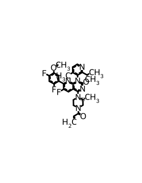 C=CC(=O)N1CCN(c2nc(=O)n(-c3c(C)ccnc3C(C)C)c3nc(-c4cc(OC)c(F)cc4F)c(F)cc23)[C@@H](C)C1